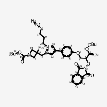 CC(C)(C)OC(=O)[C@H](COc1ccc(-c2cn(CC3(F)CN(C(=O)OC(C)(C)C)C3)[n+](CCCN=[N+]=[N-])c2)cc1)ON1C(=O)c2ccccc2C1=O